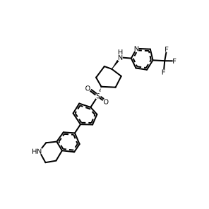 O=S(=O)(c1ccc(-c2ccc3c(c2)CNCC3)cc1)[C@H]1CC[C@H](Nc2ccc(C(F)(F)F)cn2)CC1